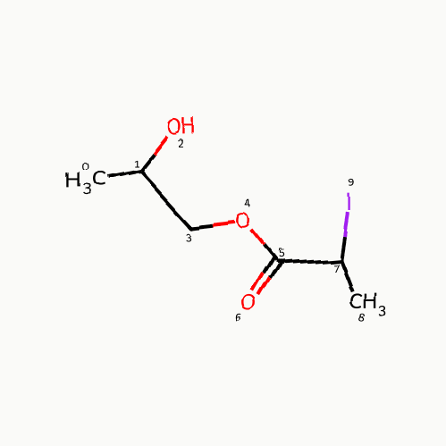 CC(O)COC(=O)C(C)I